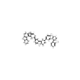 c1ccc2c(c1)oc1ccc3oc4ccc(-c5ccc6oc7ccc(-c8ccc9oc%10ccc%11oc%12ccccc%12c%11c%10c9c8)cc7c6c5)cc4c3c12